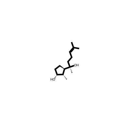 CC(C)=CCC[C@@](C)(O)[C@@H]1CC[C@@H](O)[C@H]1C